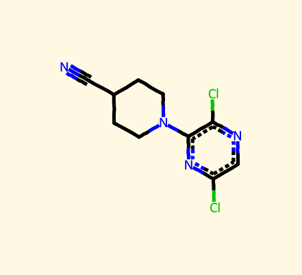 N#CC1CCN(c2nc(Cl)cnc2Cl)CC1